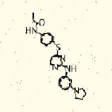 C=CC(=O)Nc1ccc(Sc2ccnc(Nc3cccc(N4CCCC4)c3)n2)cc1